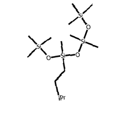 CC(C)CC[Si](C)(O[Si](C)(C)C)O[Si](C)(C)O[Si](C)(C)C